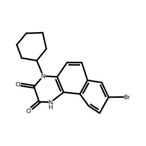 O=c1[nH]c2c3ccc(Br)cc3ccc2n(C2CCCCC2)c1=O